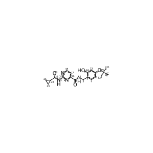 O=C(NCc1ccc(OC(F)(I)I)cc1O)c1ccnc(NC(=O)C2CC2)n1